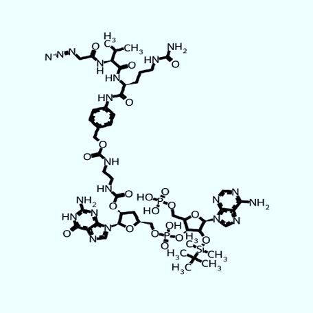 CC(C)[C@H](NC(=O)CN=[N+]=[N-])C(=O)N[C@@H](CCCNC(N)=O)C(=O)Nc1ccc(COC(=O)NCCNC(=O)O[C@@H]2C[C@@H](COP(=O)(O)O[C@@H]3C(COP(=O)(O)O)O[C@@H](n4cnc5c(N)ncnc54)C3O[Si](C)(C)C(C)(C)C)O[C@H]2n2cnc3c(=O)[nH]c(N)nc32)cc1